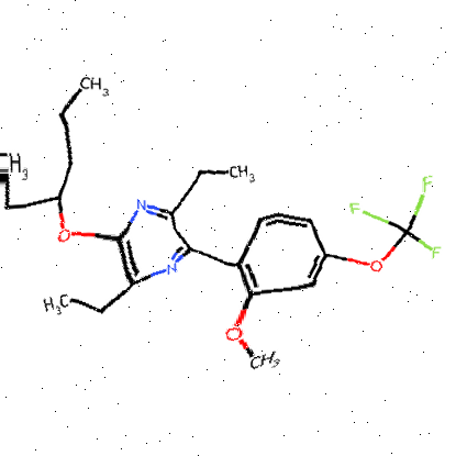 CCCC(CC)Oc1nc(CC)c(-c2ccc(OC(F)(F)F)cc2OC)nc1CC